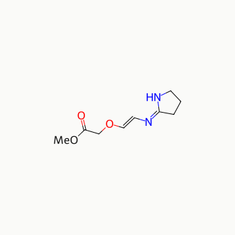 COC(=O)COC=CN=C1CCCN1